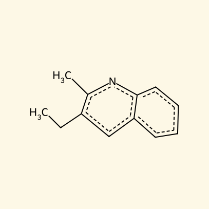 CCc1cc2ccccc2nc1C